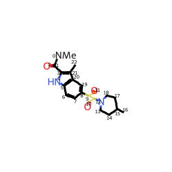 CNC(=O)c1[nH]c2ccc(S(=O)(=O)N3CCC(C)CC3)cc2c1C